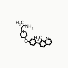 Cc1c(-c2ccc(OC3CCN(C[C@H](C)N)CC3)cc2)ccc2cccnc12